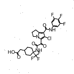 O=C(O)CC1CCC(NC(=O)C(=O)c2c(Cl)c(C(=O)Nc3cc(F)c(F)c(F)c3)c3n2CCC3)(C(F)(F)F)CC1